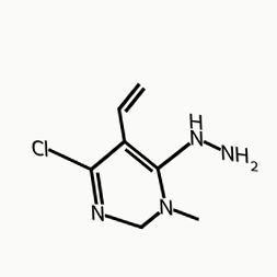 C=CC1=C(NN)N(C)CN=C1Cl